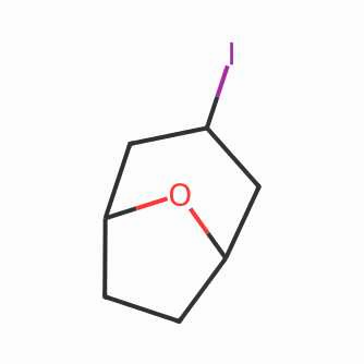 IC1CC2CCC(C1)O2